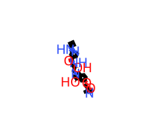 Cc1ncoc1COc1ccc2c(c1)[C@@H](O)CN(C[C@@H](O)CNC(=O)c1ccnc(NC3CCC3)c1)C2